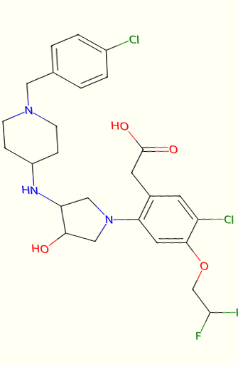 O=C(O)Cc1cc(Cl)c(OCC(F)F)cc1N1CC(O)C(NC2CCN(Cc3ccc(Cl)cc3)CC2)C1